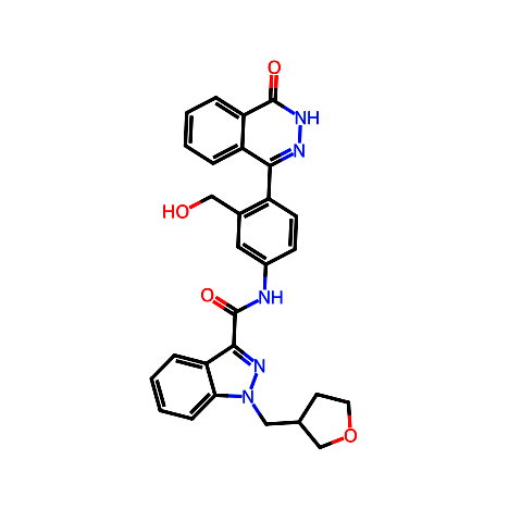 O=C(Nc1ccc(-c2n[nH]c(=O)c3ccccc23)c(CO)c1)c1nn(CC2CCOC2)c2ccccc12